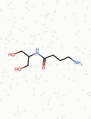 NCCCC(=O)NC(CO)CO